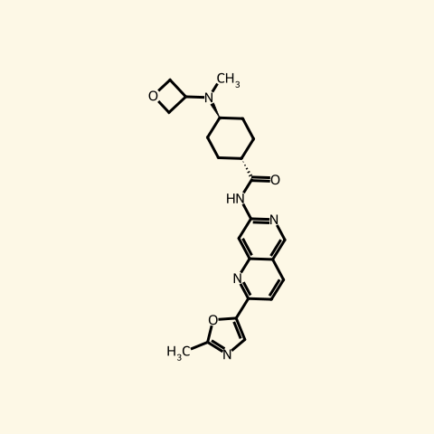 Cc1ncc(-c2ccc3cnc(NC(=O)[C@H]4CC[C@H](N(C)C5COC5)CC4)cc3n2)o1